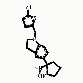 O=CNC1(c2ccc3c(c2)CCN3Cc2ccc(Cl)s2)CCCC1